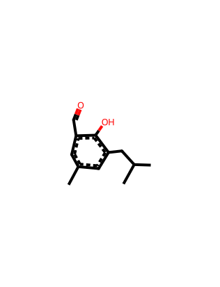 Cc1cc(C=O)c(O)c(CC(C)C)c1